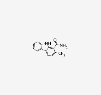 NC(=O)c1c(C(F)(F)F)ccc2c1[nH]c1ccccc12